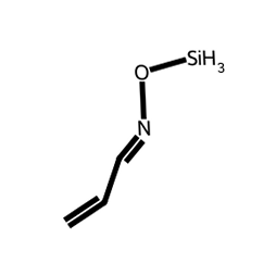 C=C/C=N/O[SiH3]